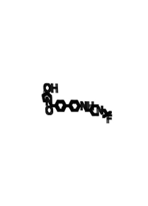 CC(C)(F)CN1CCC(CNC2C=CC(c3ccc(C(=O)N4CC[C@H](O)C4)cc3)=CC2)CC1